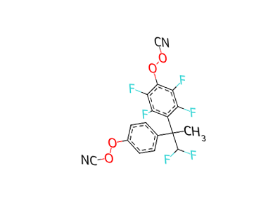 CC(c1ccc(OOC#N)cc1)(c1c(F)c(F)c(OOC#N)c(F)c1F)C(F)F